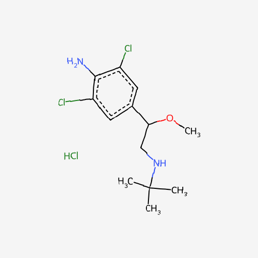 COC(CNC(C)(C)C)c1cc(Cl)c(N)c(Cl)c1.Cl